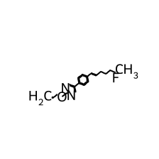 C=CCOc1ncc(-c2ccc(/C=C/CCCC(C)F)cc2)cn1